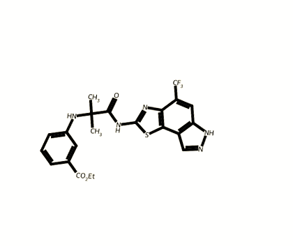 CCOC(=O)c1cccc(NC(C)(C)C(=O)Nc2nc3c(C(F)(F)F)cc4[nH]ncc4c3s2)c1